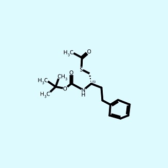 CC(=O)SC[C@H](CCc1ccccc1)NC(=O)OC(C)(C)C